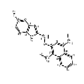 COc1cc(CNc2nc3cc(F)ccc3o2)c(OC)c2ccccc12